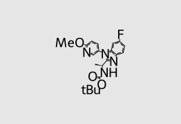 COc1ccc(-n2c([C@H](C)NC(=O)OC(C)(C)C)nc3ccc(F)cc32)cn1